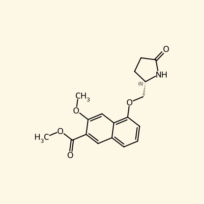 COC(=O)c1cc2cccc(OC[C@@H]3CCC(=O)N3)c2cc1OC